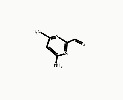 Nc1cc(N)nc(C=S)n1